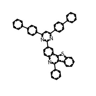 c1ccc(-c2ccc(-c3cc(-c4ccc(-c5ccccc5)cc4)nc(-c4ccc5nc(-c6ccccc6)c6c7ccccc7sc6c5c4)n3)cc2)cc1